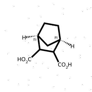 O=C(O)C1C(C(=O)O)[C@H]2CC[C@@H]1C2